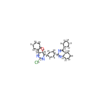 Clc1nc(-c2ccc(-c3nc(-c4ccccc4)c4ccccc4n3)cc2)c2oc3ccccc3c2n1